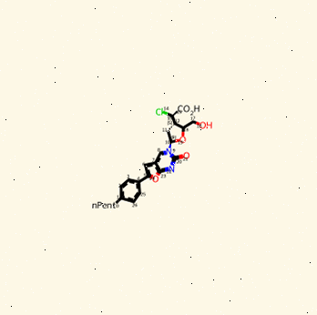 CCCCCc1ccc(-c2cc3cn([C@H]4C[C@H]([C@@H](Cl)C(=O)O)C(CO)O4)c(=O)nc3o2)cc1